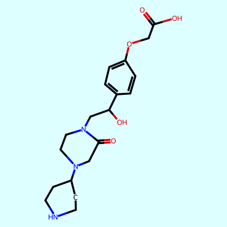 O=C(O)COc1ccc(C(O)CN2CCN(C3CCNCC3)CC2=O)cc1